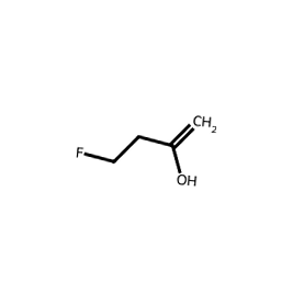 C=C(O)CCF